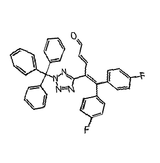 O=CC=CC(=C(c1ccc(F)cc1)c1ccc(F)cc1)c1nnn(C(c2ccccc2)(c2ccccc2)c2ccccc2)n1